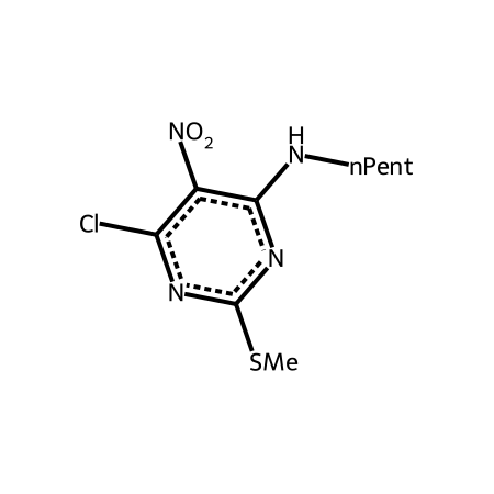 CCCCCNc1nc(SC)nc(Cl)c1[N+](=O)[O-]